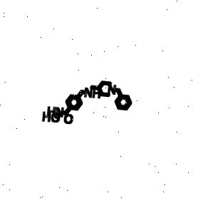 O=C(NO)c1ccc(CNCC2CCN(Cc3ccccc3)CC2)cc1